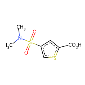 CN(C)S(=O)(=O)c1csc(C(=O)O)c1